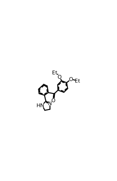 CCOc1ccc(C(=O)c2ccccc2C2=NCCN2)cc1OCC